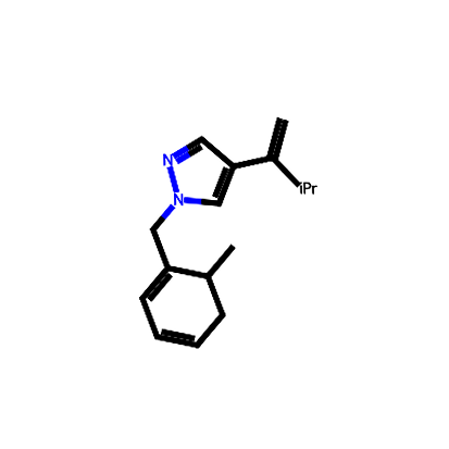 C=C(c1cnn(CC2=CC=CCC2C)c1)C(C)C